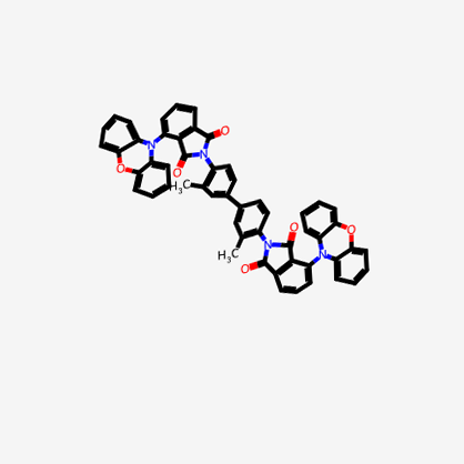 Cc1cc(-c2ccc(N3C(=O)c4cccc(N5c6ccccc6Oc6ccccc65)c4C3=O)c(C)c2)ccc1N1C(=O)c2cccc(N3c4ccccc4Oc4ccccc43)c2C1=O